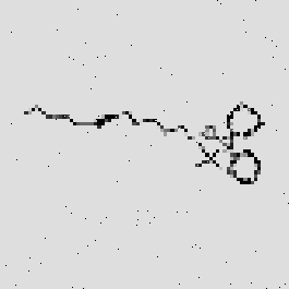 CCCCCC#CCCCCCCO[Si](c1ccccc1)(c1ccccc1)C(C)(C)C